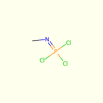 CN=P(Cl)(Cl)Cl